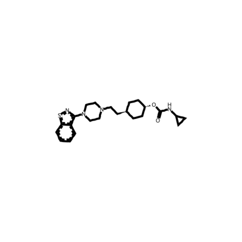 O=C(NC1CC1)O[C@H]1CC[C@H](CCN2CCN(c3nsc4ccccc34)CC2)CC1